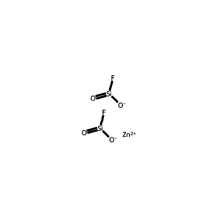 O=[Si]([O-])F.O=[Si]([O-])F.[Zn+2]